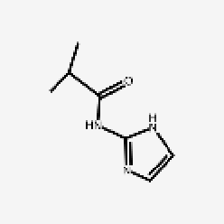 CC(C)C(=O)Nc1ncc[nH]1